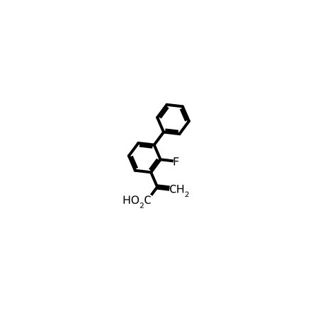 C=C(C(=O)O)c1cccc(-c2ccccc2)c1F